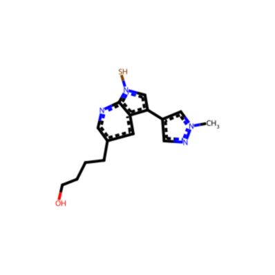 Cn1cc(-c2cn(S)c3ncc(CCCCO)cc23)cn1